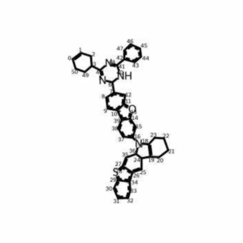 C1=CCC(C2=NC(c3ccc4c(c3)oc3cc(N5C6=C(CCCC6)C6C=c7c(sc8ccccc78)=CC65)ccc34)NC(c3ccccc3)=N2)CC1